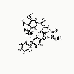 COc1cc(C(=S)[C@@H]2C[C@H](C(=O)NO)N(Oc3ccc(-c4ccccc4)cc3)C2)cc(C(F)(F)F)c1OC